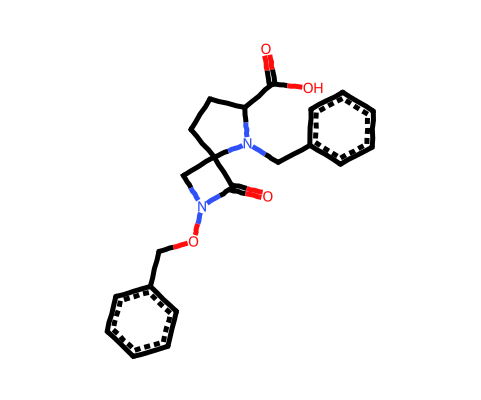 O=C(O)C1CCC2(CN(OCc3ccccc3)C2=O)N1Cc1ccccc1